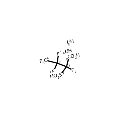 O=C(O)C(F)(C(F)(F)C(F)(F)F)S(=O)(=O)O.[LiH].[LiH]